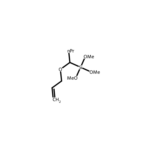 C=CCOC(CCC)[Si](OC)(OC)OC